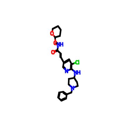 O=C(C=Cc1cnc(NC2CCN(Cc3ccccc3)CC2)c(Cl)c1)NOC1CCCCO1